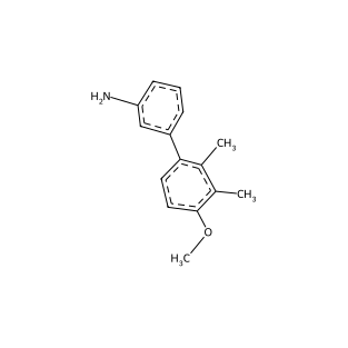 COc1ccc(-c2cccc(N)c2)c(C)c1C